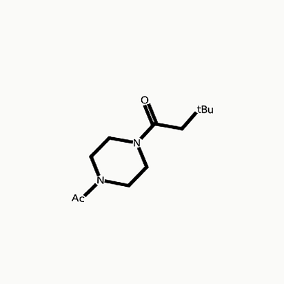 CC(=O)N1CCN(C(=O)CC(C)(C)C)CC1